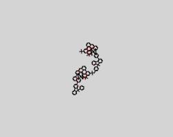 CC(C)(C)c1cc(-c2cccc3cccc(-c4ccccc4N(c4ccc(-c5cccc6c5-c5ccccc5C6(C)c5ccc(CC(C)(C)c6cc(-c7cccc8cccc(-c9ccccc9N(c9ccc(-c%10ccc%11c(c%10)C(C)(c%10ccccc%10)c%10ccccc%10-%11)cc9)c9ccccc9-c9ccccc9)c78)cc(C(C)(C)C)c6)cc5)cc4)c4ccccc4-c4ccccc4)c23)cc(C(C)(C)C)c1